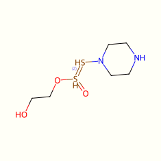 O=[SH](/OCCO)=[SH]\N1CCNCC1